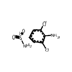 N[SH](=O)=O.Nc1c(Cl)cccc1Cl